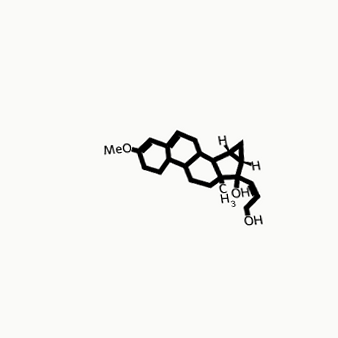 COC1=CC2=CCC3C(CCC4(C)C3[C@@H]3C[C@@H]3C4(O)/C=C\CO)C2CC1